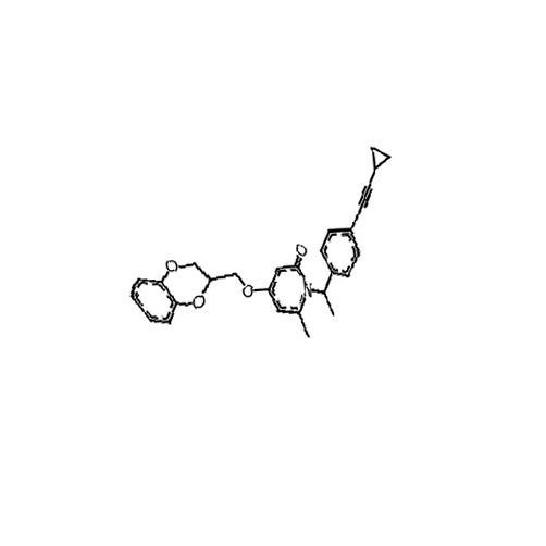 Cc1cc(OCC2COc3ccccc3O2)cc(=O)n1C(C)c1ccc(C#CC2CC2)cc1